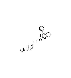 c1ccc(-c2nc(OC[C@H]3C[C@@H](c4ccc(CN5CCCC5)cc4)C3)nc3ccccc23)nc1